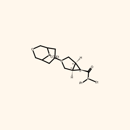 CCOC(=O)N1C2COCC1CC(N1C[C@@H]3[C@H](C1)[C@@H]3C(=O)N(CC)C(C)C)C2